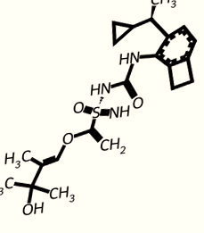 C=C(O/C=C(\C)C(C)(C)O)[S@](=N)(=O)NC(=O)Nc1c([C@H](C)C2CC2)ccc2c1CC2